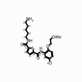 COCCOc1ccc(Cl)cc1NC(=O)c1ccc(C(=O)NCCCCCN)s1